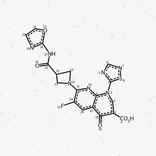 O=C(O)c1cn(-c2ncns2)c2nc(N3CC(C(=O)Nc4ncco4)C3)c(F)cc2c1=O